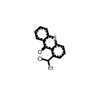 CCC(Cl)c1cccc2sc3ccccc3c(=O)c12